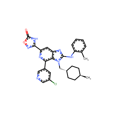 Cc1ccccc1Nc1nc2cc(-c3noc(=O)[nH]3)nc(-c3cncc(Cl)c3)c2n1C[C@H]1CC[C@H](C)CC1